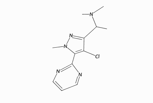 CC(c1nn(C)c(-c2ncccn2)c1Cl)N(C)C